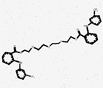 O=C(OCCOCCOCCOCCOC(=O)c1ccccc1Nc1cccc(C(F)(F)F)c1)c1ccccc1Nc1cccc(C(F)(F)F)c1